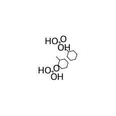 CC1CCCCC1.CC1CCCCC1.O=C(O)O.O=C(O)O